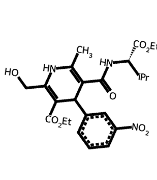 CCOC(=O)C1=C(CO)NC(C)=C(C(=O)N[C@H](C(=O)OCC)C(C)C)C1c1cccc([N+](=O)[O-])c1